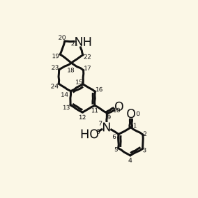 O=C1CC=CC=C1N(O)C(=O)c1ccc2c(c1)CC1(CCNC1)CC2